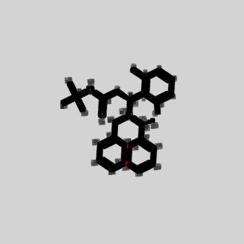 Cc1cccc(C)c1[C@H](CC(=O)OC(C)(C)C)N(Cc1ccccc1)[C@H](C)c1ccccc1